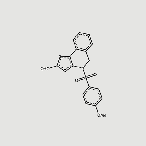 COc1ccc(S(=O)(=O)N2Cc3ccccc3-c3sc(C=O)cc32)cc1